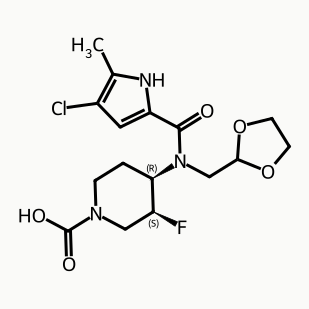 Cc1[nH]c(C(=O)N(CC2OCCO2)[C@@H]2CCN(C(=O)O)C[C@@H]2F)cc1Cl